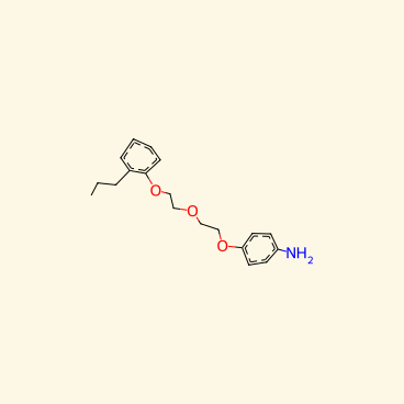 CCCc1ccccc1OCCOCCOc1ccc(N)cc1